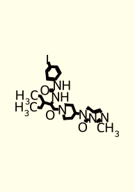 CCC(CC)C(NC(=O)Nc1ccc(I)cc1)C(=O)N1CCC(N2Cc3cnc(C)n3C2=O)CC1